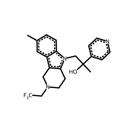 Cc1ccc2c(c1)c1c(n2CC(C)(O)c2ccncc2)CCN(CC(F)(F)F)C1